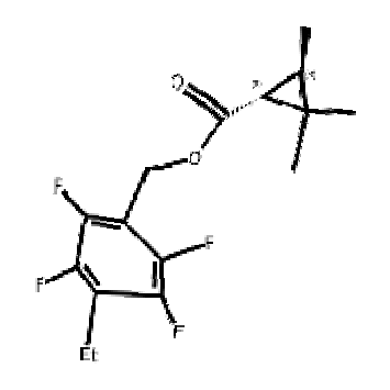 CCc1c(F)c(F)c(COC(=O)[C@@H]2[C@@H](C)C2(C)C)c(F)c1F